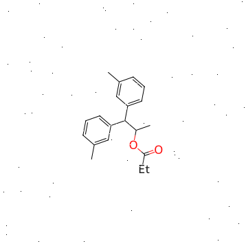 CCC(=O)OC(C)C(c1cccc(C)c1)c1cccc(C)c1